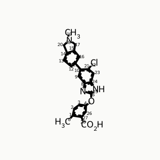 Cc1ccc(Oc2nc3cc(-c4ccc5c(c4)CN(C)C5)c(Cl)cc3[nH]2)cc1C(=O)O